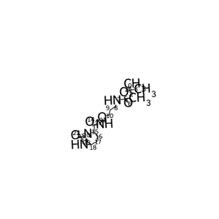 CC(C)(C)OC(=O)NCCCONC(=O)C1CCC2CN1C(=O)N2